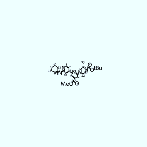 COC(=O)c1cc(-c2ccnc(NC3CCCCC3)c2)nc(N2CCN(C(=O)OC(C)(C)C)[C@@H](C)C2)c1